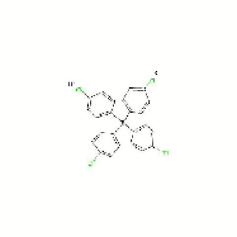 Clc1ccc([B-](c2ccc(Cl)cc2)(c2ccc(Cl)cc2)c2ccc(Cl)cc2)cc1.[H+].[K]